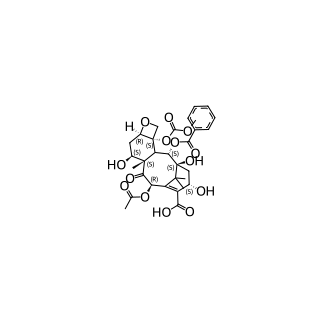 COC(=O)O[C@@]12CO[C@@H]1C[C@H](O)[C@@]1(C)C(=O)[C@H](OC(C)=O)C3=C(C(=O)O)[C@@H](O)C[C@@](O)([C@@H](OC(=O)c4ccccc4)C12)C3(C)C